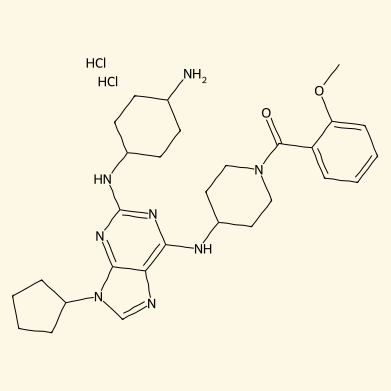 COc1ccccc1C(=O)N1CCC(Nc2nc(NC3CCC(N)CC3)nc3c2ncn3C2CCCC2)CC1.Cl.Cl